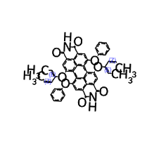 C/C=C\C(=C/C)Oc1cc2c3c(cc(Oc4ccccc4)c4c5c(OC(/C=C\C)=C/C)cc6c7c(cc(Oc8ccccc8)c(c1c34)c75)C(=O)NC6=O)C(=O)NC2=O